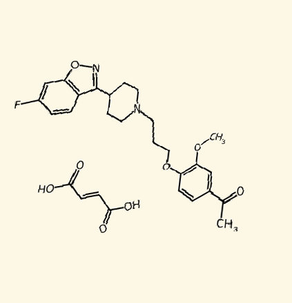 COc1cc(C(C)=O)ccc1OCCCN1CCC(c2noc3cc(F)ccc23)CC1.O=C(O)C=CC(=O)O